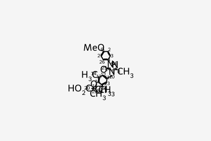 COc1ccc(-n2nc(C)n(Cc3cc(C)c(OC(C)(C)C(=O)O)c(C)c3)c2=O)cc1